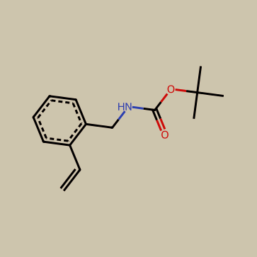 C=Cc1ccccc1CNC(=O)OC(C)(C)C